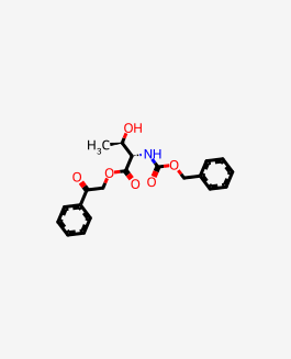 C[C@@H](O)[C@H](NC(=O)OCc1ccccc1)C(=O)OCC(=O)c1ccccc1